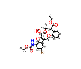 CCOC(=O)Cc1ccccc1OCc1c(C(O)OC(C)(C)C)oc2c(NC(=O)OCC)cc(Br)cc12